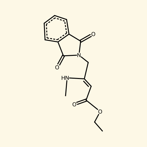 CCOC(=O)/C=C(/CN1C(=O)c2ccccc2C1=O)NC